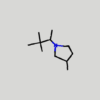 CC1CCN(C(C)C(C)(C)C)C1